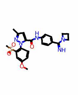 COc1ccc(-n2nc(C)cc2C(=O)Nc2ccc(C(=N)N3CCC3)cc2)c(S(C)(=O)=O)c1